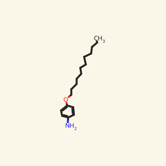 CCCCCCCCCCCCOc1ccc(N)cc1